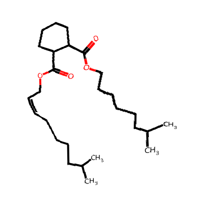 CC(C)CCCC/C=C\COC(=O)C1CCCCC1C(=O)OCCCCCCC(C)C